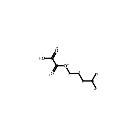 CC(C)CCCOC(=O)C(=O)O